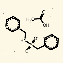 CC(=O)O.O=S(=O)(Cc1ccccc1)NCc1cccnc1